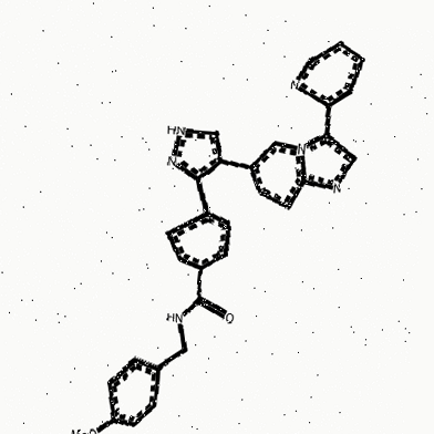 COc1ccc(CNC(=O)c2ccc(-c3n[nH]cc3-c3ccc4ncc(-c5ccccn5)n4c3)cc2)cc1